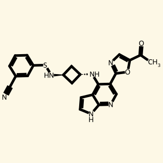 CC(=O)c1cnc(-c2cnc3[nH]ccc3c2N[C@H]2C[C@H](NSc3cccc(C#N)c3)C2)o1